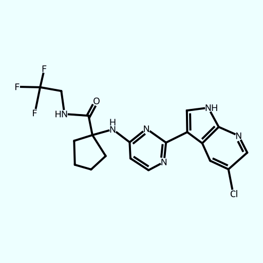 O=C(NCC(F)(F)F)C1(Nc2ccnc(-c3c[nH]c4ncc(Cl)cc34)n2)CCCC1